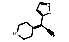 N#CC(=C1CCNCC1)c1ccno1